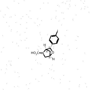 O=C(O)N1C[C@H]2C[C@@H]1[C@H](c1ccc(I)cc1)O2